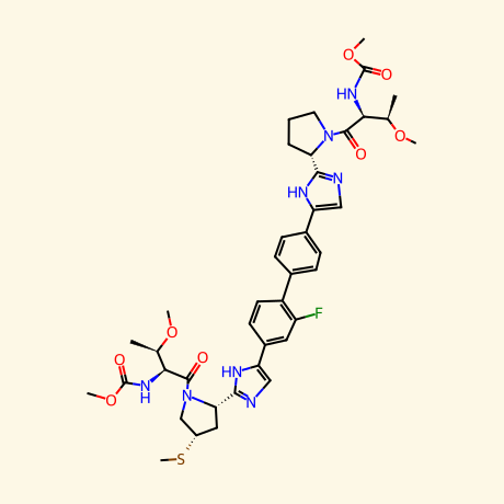 COC(=O)N[C@H](C(=O)N1CCC[C@H]1c1ncc(-c2ccc(-c3ccc(-c4cnc([C@@H]5C[C@H](SC)CN5C(=O)[C@@H](NC(=O)OC)[C@@H](C)OC)[nH]4)cc3F)cc2)[nH]1)[C@@H](C)OC